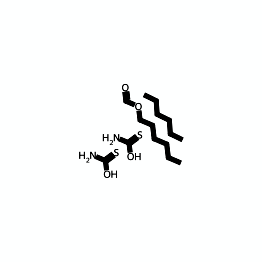 CCCCCC.CCCCCCOC=O.NC(O)=S.NC(O)=S